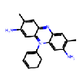 Cc1cc2nc3cc(C)c(N)cc3[n+](C3=CC=CCC3)c2cc1N